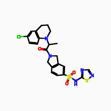 CC(C(=O)N1Cc2ccc(S(=O)(=O)Nc3ncns3)cc2C1)N1CCCc2cc(Cl)ccc21